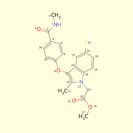 CNC(=O)c1ccc(Oc2c(C)n(CC(=O)OC)c3ccc(F)cc23)cc1